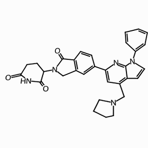 O=C1CCC(N2Cc3cc(-c4cc(CN5CCCC5)c5ccn(-c6ccccc6)c5n4)ccc3C2=O)C(=O)N1